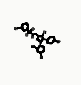 CCc1c(CNS(=O)(=O)c2cccc(Cl)c2)nn(-c2ccc(Cl)cc2Cl)c1-c1ccc(Br)cc1